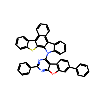 c1ccc(-c2ccc3c(c2)oc2nc(-c4ccccc4)nc(-n4c5ccccc5c5c6ccccc6c6c7ccccc7sc6c54)c23)cc1